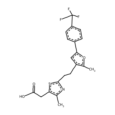 Cc1nc(CCc2cc(-c3ccc(C(F)(F)F)cc3)oc2C)sc1CC(=O)O